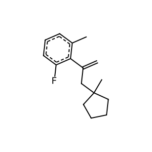 C=C(CC1(C)CCCC1)c1c(C)cccc1F